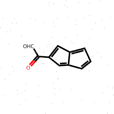 O=CC(=O)C1=CC2=CC=CC2=C1